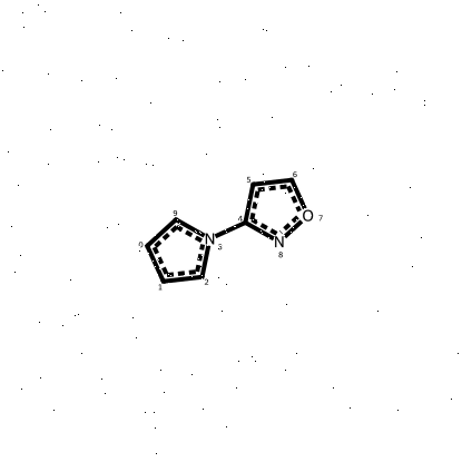 c1ccn(-c2ccon2)c1